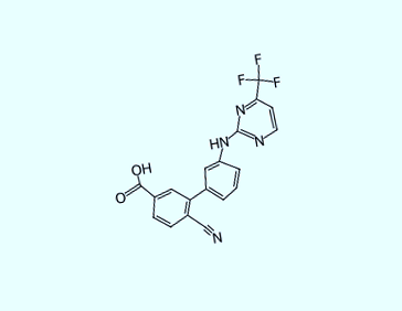 N#Cc1ccc(C(=O)O)cc1-c1cccc(Nc2nccc(C(F)(F)F)n2)c1